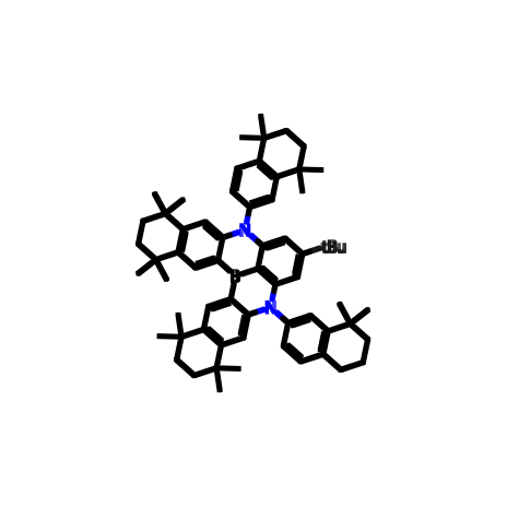 CC(C)(C)c1cc2c3c(c1)N(c1ccc4c(c1)C(C)(C)CCC4(C)C)c1cc4c(cc1B3c1cc3c(cc1N2c1ccc2c(c1)C(C)(C)CCC2)C(C)(C)CCC3(C)C)C(C)(C)CCC4(C)C